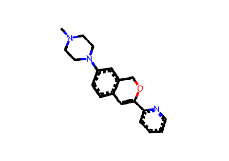 CN1CCN(c2ccc3c(c2)COC(c2ccccn2)=C3)CC1